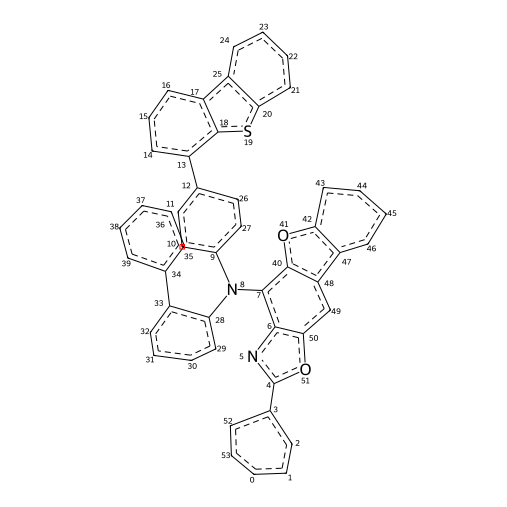 c1ccc(-c2nc3c(N(c4ccc(-c5cccc6c5sc5ccccc56)cc4)c4ccccc4-c4ccccc4)c4oc5ccccc5c4cc3o2)cc1